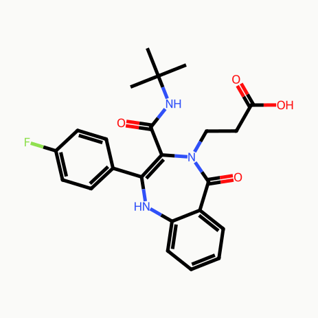 CC(C)(C)NC(=O)C1=C(c2ccc(F)cc2)Nc2ccccc2C(=O)N1CCC(=O)O